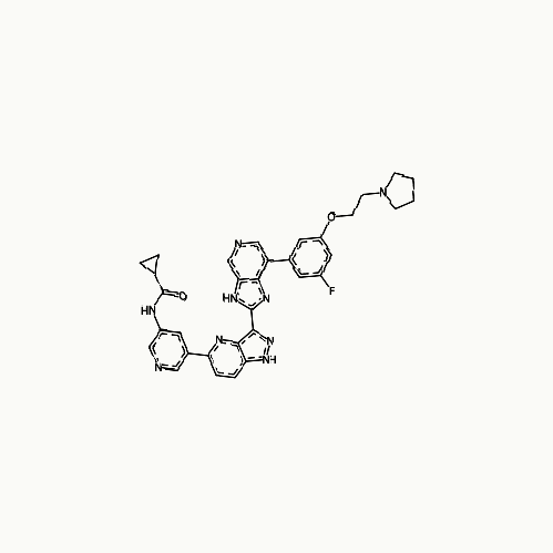 O=C(Nc1cncc(-c2ccc3[nH]nc(-c4nc5c(-c6cc(F)cc(OCCN7CCCC7)c6)cncc5[nH]4)c3n2)c1)C1CC1